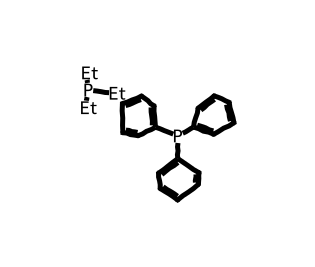 CCP(CC)CC.c1ccc(P(c2ccccc2)c2ccccc2)cc1